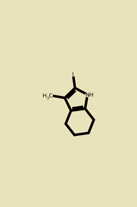 Cc1c(I)[nH]c2c1CCCC2